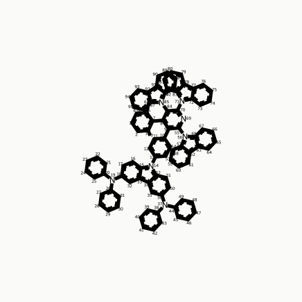 Cc1cccc(C)c1-c1c(-c2ccc(-n3c4ccc(N(c5ccccc5)c5ccccc5)cc4c4cc(N(c5ccccc5)c5ccccc5)ccc43)cc2)c(-n2c3ccccc3c3ccccc32)nc(-n2c3ccccc3c3ccccc32)c1-n1c2ccccc2c2ccccc21